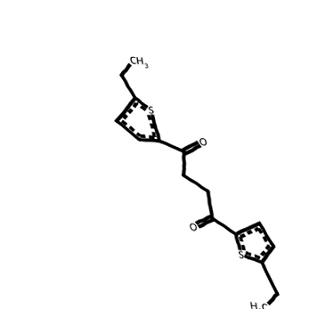 CCc1ccc(C(=O)CCC(=O)c2ccc(CC)s2)s1